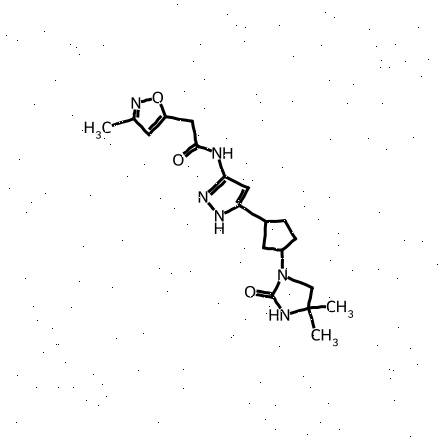 Cc1cc(CC(=O)Nc2cc(C3CCC(N4CC(C)(C)NC4=O)C3)[nH]n2)on1